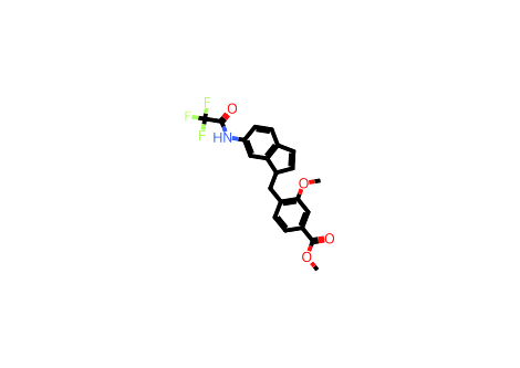 COC(=O)c1ccc(CC2C=Cc3ccc(NC(=O)C(F)(F)F)cc32)c(OC)c1